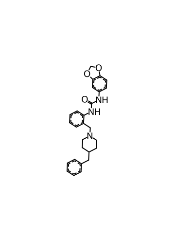 O=C(Nc1ccc2c(c1)OCO2)Nc1ccccc1CN1CCC(Cc2ccccc2)CC1